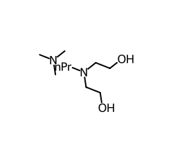 CCCN(CCO)CCO.CN(C)C